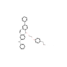 CCOC(=O)C(Cc1ccc(OCCOC2c3ccc(-c4ccccc4)cc3C=Cc3cc(C(C)c4ccccc4)ccc32)cc1)OCC